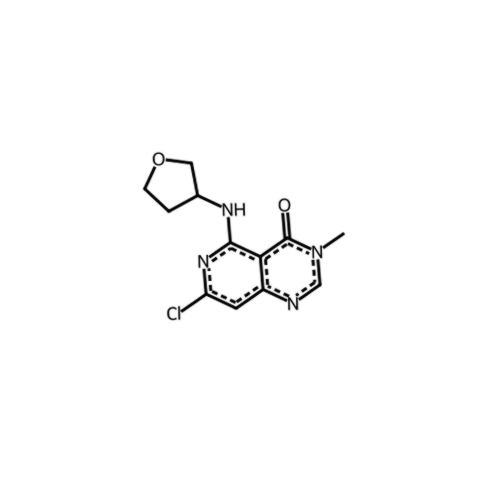 Cn1cnc2cc(Cl)nc(NC3CCOC3)c2c1=O